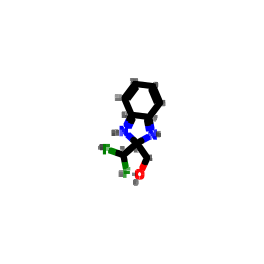 [O]CC1(C(F)F)N=c2ccccc2=N1